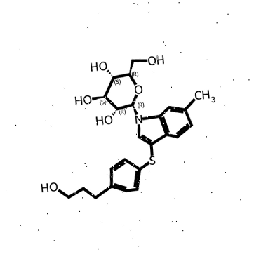 Cc1ccc2c(Sc3ccc(CCCO)cc3)cn([C@@H]3O[C@H](CO)[C@@H](O)[C@H](O)[C@H]3O)c2c1